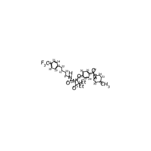 CCC1(CC)C(=O)N(C(=O)NCCCCc2ccc(C(F)(F)F)cc2)C1Oc1ccc(C(=O)N2CCC(C)CC2)cc1